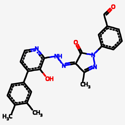 CC1=NN(c2cccc(C=O)c2)C(=O)/C1=N\Nc1nccc(-c2ccc(C)c(C)c2)c1O